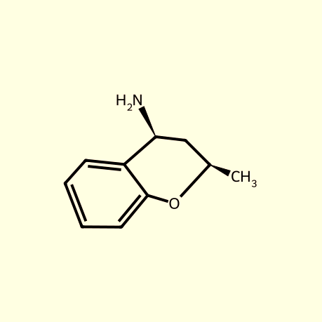 C[C@@H]1C[C@H](N)c2ccccc2O1